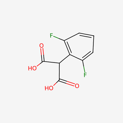 O=C(O)C(C(=O)O)c1c(F)cccc1F